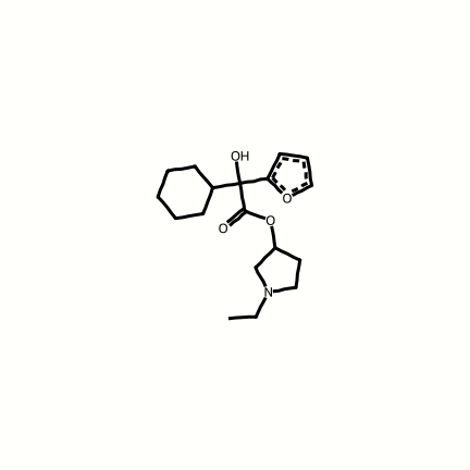 CCN1CCC(OC(=O)C(O)(c2ccco2)C2CCCCC2)C1